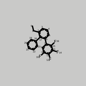 CCc1cccc(-c2cc(F)c(F)c(F)c2F)c1-c1ccccc1